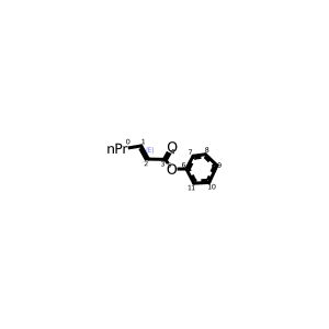 CCC/C=C/C(=O)Oc1ccccc1